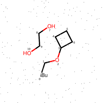 CCC(C)COC1CCC1.OCCO